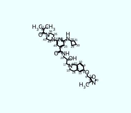 Cc1ncoc1COc1ccc2c(c1)CCN(C[C@@H](O)CNC(=O)c1cc(NC3CCC3)nc(N3CCN(C(=O)C(C)C)CC3)c1)C2